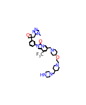 Cn1cnnc1CC1(c2cccc(-n3cc4c(C(F)(F)F)cc(CN5CCC(OCCN6CCC(CN7CCNCC7)CC6)CC5)cn4c3=O)c2)COC1